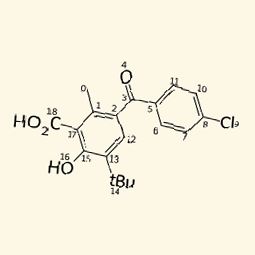 Cc1c(C(=O)c2ccc(Cl)cc2)cc(C(C)(C)C)c(O)c1C(=O)O